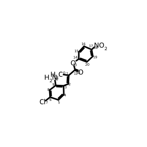 CC(=Cc1ccc(Cl)cc1N)C(=O)Oc1ccc([N+](=O)[O-])cc1